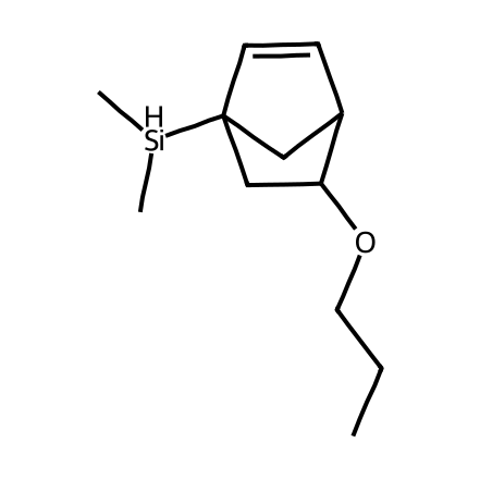 CCCOC1CC2([SiH](C)C)C=CC1C2